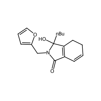 CCCCC1(O)C2=C(C=CCC2)C(=O)N1Cc1ccco1